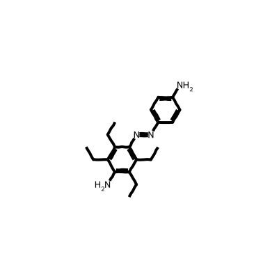 CCc1c(N)c(CC)c(CC)c(N=Nc2ccc(N)cc2)c1CC